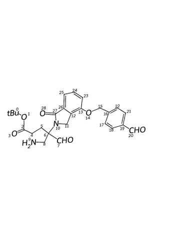 CC(C)(C)OC(=O)CCC(C=O)(CN)N1Cc2c(OCc3ccc(C=O)cc3)cccc2C1=O